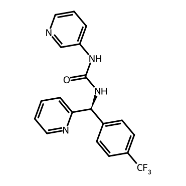 O=C(Nc1cccnc1)N[C@@H](c1ccc(C(F)(F)F)cc1)c1ccccn1